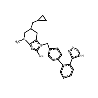 CCCCc1nc2c(n1Cc1ccc(-c3ccccc3-c3nnn[nH]3)cc1)CN(CC1CC1)CN2C